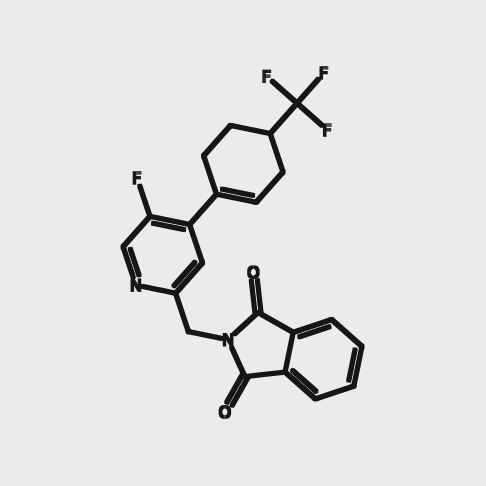 O=C1c2ccccc2C(=O)N1Cc1cc(C2=CCC(C(F)(F)F)CC2)c(F)cn1